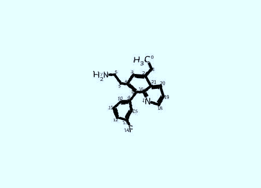 CCc1cc(CCN)c(-c2cccc(F)c2)c2ncccc12